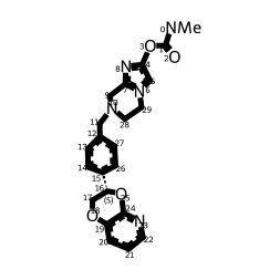 CNC(=O)Oc1cn2c(n1)CN(Cc1ccc([C@H]3COc4cccnc4O3)cc1)CC2